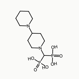 O=P(O)(O)C(N1CCC(N2CCCCC2)CC1)P(=O)(O)O